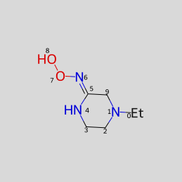 CCN1CCN/C(=N\OO)C1